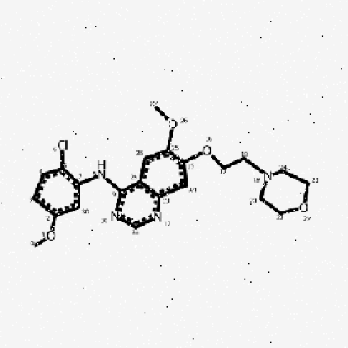 COc1ccc(Cl)c(Nc2ncnc3cc(OCCN4CCOCC4)c(OC)cc23)c1